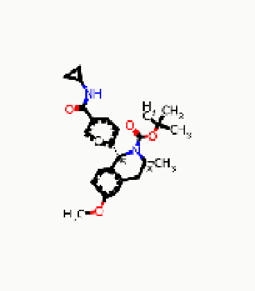 COc1ccc2c(c1)C[C@H](C)N(C(=O)OC(C)(C)C)[C@H]2c1ccc(C(=O)NC2CC2)cc1